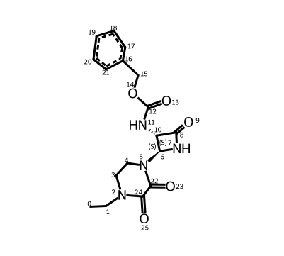 CCN1CCN([C@@H]2NC(=O)[C@H]2NC(=O)OCc2ccccc2)C(=O)C1=O